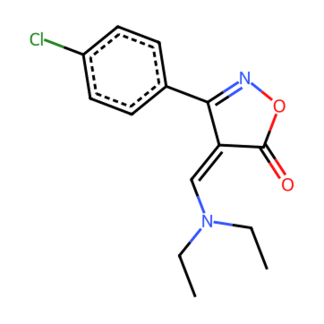 CCN(/C=C1\C(=O)ON=C1c1ccc(Cl)cc1)CC